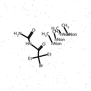 CCC(Br)(CC)C(=O)NC(N)=O.CCCCCCCCCC.CCCCCCCCCC.CCCCCCCCCC.CCCCCCCCCC